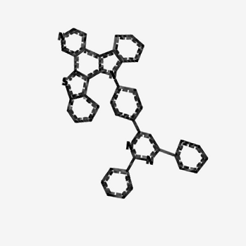 c1ccc(-c2cc(-c3ccc(-n4c5ccccc5c5c6ccncc6c6sc7ccccc7c6c54)cc3)nc(-c3ccccc3)n2)cc1